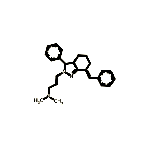 CN(C)CCCN1N=C2C(=Cc3ccccc3)CCCC2C1c1ccccc1